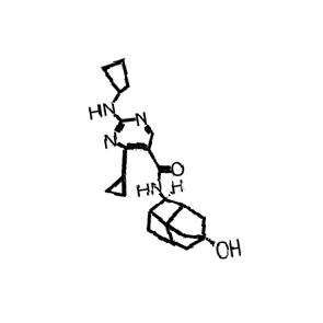 O=C(N[C@H]1C2CC3CC1C[C@@](O)(C3)C2)c1cnc(NC2CCC2)nc1C1CC1